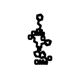 COC(=O)CCCCN(CCc1ccccc1OCc1cccc(CCc2ccccc2)c1)C1CCCc2cc(C(=O)OC)ccc21